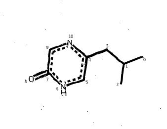 CC(C)Cc1c[nH]c(=O)cn1